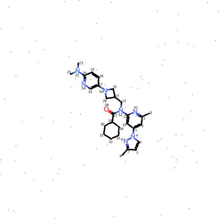 Cc1cc(-n2ccc(C)n2)cc(N(CC2CN(c3ccc(N(C)C)nc3)C2)C(=O)C2CCCCC2)n1